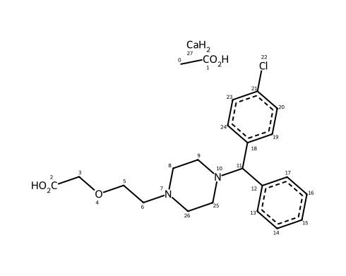 CC(=O)O.O=C(O)COCCN1CCN(C(c2ccccc2)c2ccc(Cl)cc2)CC1.[CaH2]